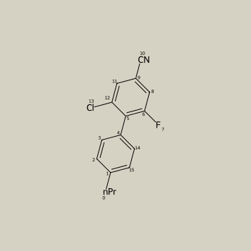 CCCc1ccc(-c2c(F)cc(C#N)cc2Cl)cc1